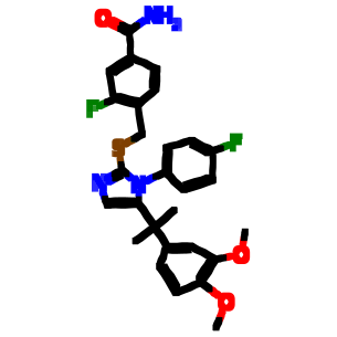 COc1ccc(C(C)(C)c2cnc(SCc3ccc(C(N)=O)cc3F)n2-c2ccc(F)cc2)cc1OC